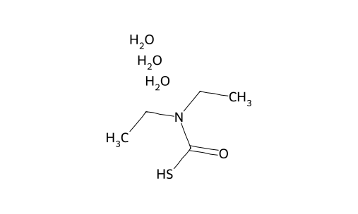 CCN(CC)C(=O)S.O.O.O